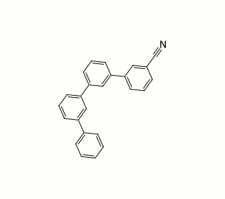 N#Cc1cccc(-c2cccc(-c3cccc(-c4ccccc4)c3)c2)c1